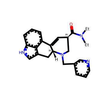 CCN(CC)C(=O)[C@@H]1C=C2c3cccc4[nH]cc(c34)C[C@H]2N(Cc2cccnc2)C1